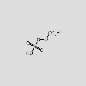 O=C(O)OOS(=O)(=O)O